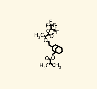 C=C(C)C(=O)OCC12CCCC(CC(CCOC(C)C(=O)OC(C(F)(F)F)C(F)(F)F)C1)C2